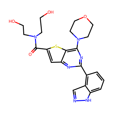 O=C(c1cc2nc(-c3cccc4[nH]ncc34)nc(N3CCOCC3)c2s1)N(CCO)CCO